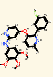 COc1cc(Nc2cc(Oc3ccc(C)nc3-c3cccc(F)c3)ccn2)cc(OC)c1OC